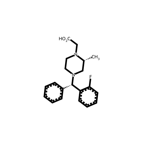 C[C@@H]1CN([C@@H](c2ccccc2)c2ccccc2F)CCN1CC(=O)O